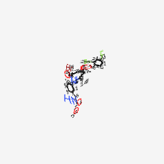 COCC(=O)NCc1cccc(-n2c(C)cc(OCc3ccc(F)cc3F)c(Br)c2=O)c1